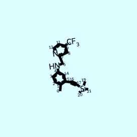 Cc1ccc(NCc2cc(C(F)(F)F)ccn2)cc1C#C[Si](C)(C)C